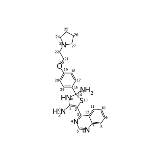 NC1=C(c2ncnc3ccccc23)SC(N)(c2ccc(OCCN3CCCC3)cc2)N1